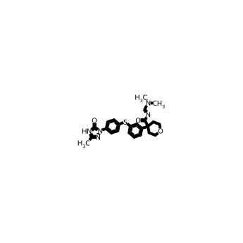 Cc1nn(-c2ccc(Sc3cccc(C4(C(=O)N=CN(C)C)CCOCC4)c3)cc2)c(=O)[nH]1